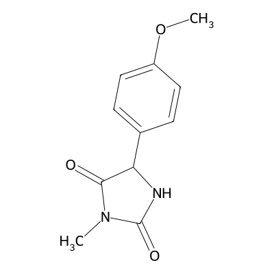 COc1ccc(C2NC(=O)N(C)C2=O)cc1